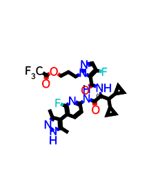 Cc1n[nH]c(C)c1-c1ccc(NC(=O)[C@@H](NC(=O)c2c(F)cnn2CCCOC(=O)C(F)(F)F)C(C2CC2)C2CC2)nc1F